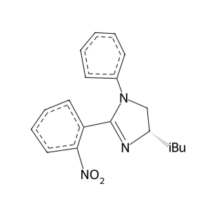 CCC(C)[C@H]1CN(c2ccccc2)C(c2ccccc2[N+](=O)[O-])=N1